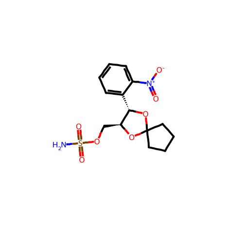 NS(=O)(=O)OC[C@@H]1OC2(CCCC2)O[C@H]1c1ccccc1[N+](=O)[O-]